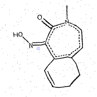 Cn1ccc2c(/c(=N/O)c1=O)C=CCC2